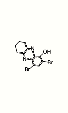 Oc1c(Br)cc(Br)c2nc3c(nc12)=CCCC=3